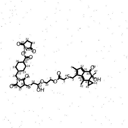 CC1=C(CSCC(=O)OCCOC(O)CSC2CC(=O)N(CC3CCC(C(=O)ON4C(=O)CCC4=O)CC3)C2=O)C2=C(C)C3(CC3)[C@@](C)(O)C(=O)C2=C1